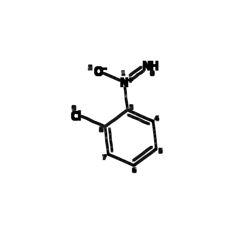 N=[N+]([O-])c1ccccc1Cl